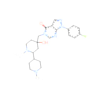 CN1CCC(C2CC(O)(Cn3cnc4c(cnn4-c4ccc(F)cc4)c3=O)CCN2C(=O)O)CC1